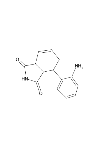 Nc1ccccc1C1CC=CC2C(=O)NC(=O)C21